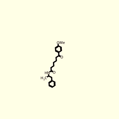 COc1ccc(C(=O)CCCCCC(=O)NC(C)Cc2ccccc2)cc1